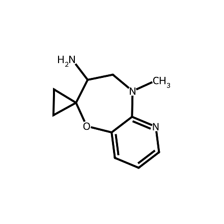 CN1CC(N)C2(CC2)Oc2cccnc21